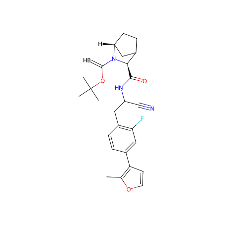 B=C(OC(C)(C)C)N1[C@@H]2CCC(C2)[C@H]1C(=O)NC(C#N)Cc1ccc(-c2ccoc2C)cc1F